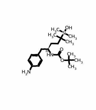 CC(C)(C)OC(=O)N[C@H](CCC(C)(C)[Si](C)(C)O)Cc1ccc(N)cc1